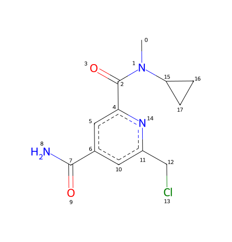 CN(C(=O)c1cc(C(N)=O)cc(CCl)n1)C1CC1